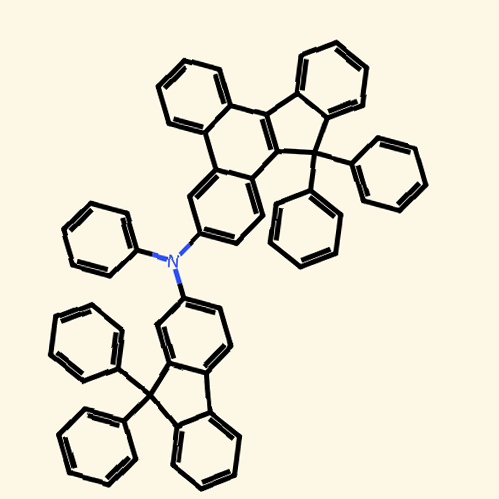 c1ccc(N(c2ccc3c(c2)C(c2ccccc2)(c2ccccc2)c2ccccc2-3)c2ccc3c4c(c5ccccc5c3c2)-c2ccccc2C4(c2ccccc2)c2ccccc2)cc1